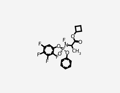 CC(C(=O)OC1CCC1)N(F)[P@@](=O)(Oc1ccccc1)Oc1cc(F)c(F)c(F)c1F